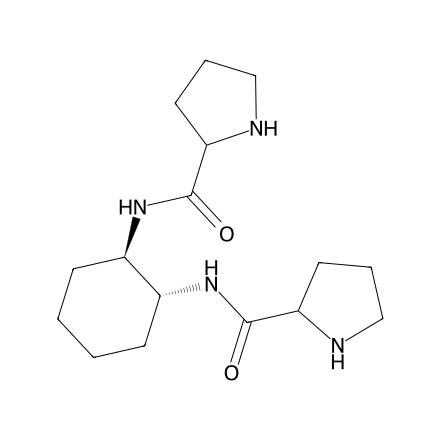 O=C(N[C@@H]1CCCC[C@H]1NC(=O)C1CCCN1)C1CCCN1